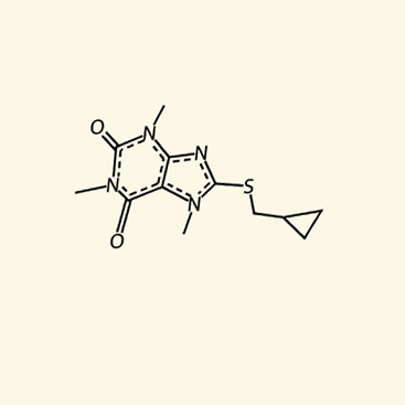 Cn1c(=O)c2c(nc(SCC3CC3)n2C)n(C)c1=O